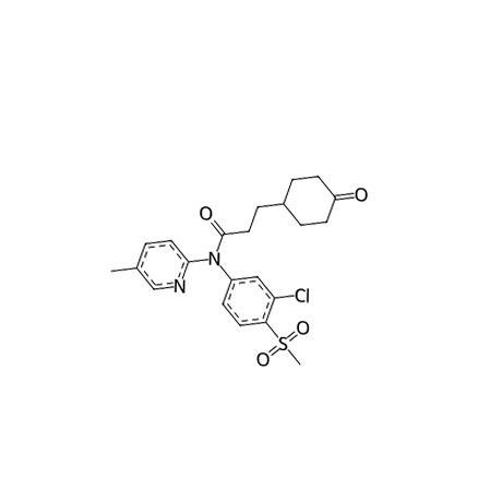 Cc1ccc(N(C(=O)CCC2CCC(=O)CC2)c2ccc(S(C)(=O)=O)c(Cl)c2)nc1